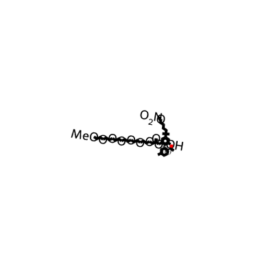 C=C(C)[C@H]1CCC(C)=C[C@@H]1c1c(O)cc(C(C)(C)CCCCO[N+](=O)[O-])cc1OC(=O)COCCOCCOCCOCCOCCOCCOC